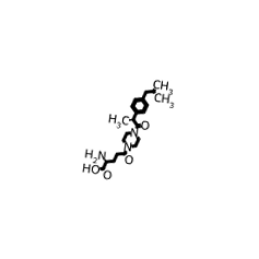 CC(C)Cc1ccc([C@H](C)C(=O)N2CCN(C(=O)CC[C@H](N)C(=O)O)CC2)cc1